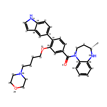 C[C@H]1CCN(C(=O)c2ccc(-c3ccc4[nH]ccc4c3)c(OCCCCN3CCOCC3)c2)c2ccccc2N1